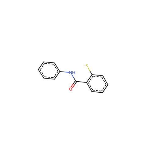 O=C(Nc1ccccc1)c1ccccc1[S]